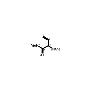 C=CC(NC)C(=O)NC